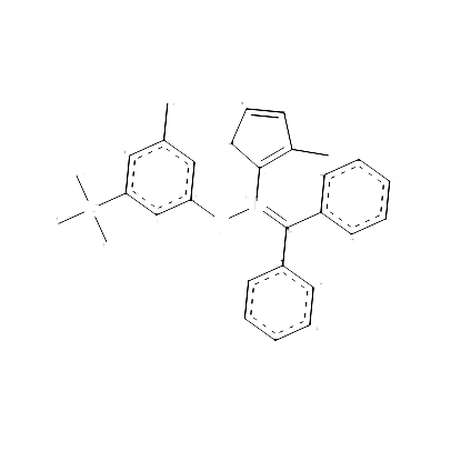 CC1=[C]([Ti]([O]c2cc(C)cc([Si](C)(C)C)c2)=[C](c2ccccc2)c2ccccc2)CC=C1